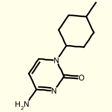 CC1CCC(n2ccc(N)nc2=O)CC1